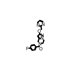 O=C(c1ccc(F)cc1)N1CCn2nc(OCc3ncccn3)cc2C1